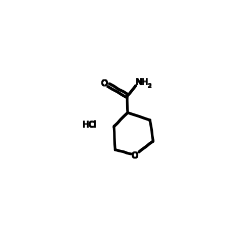 Cl.NC(=O)C1CCOCC1